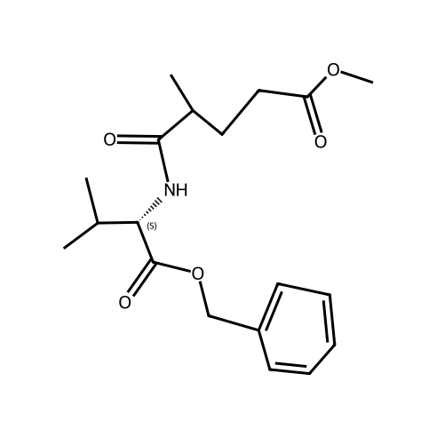 COC(=O)CCC(C)C(=O)N[C@H](C(=O)OCc1ccccc1)C(C)C